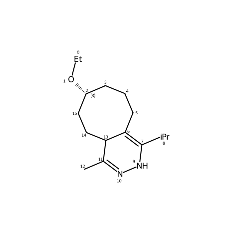 CCO[C@@H]1CCCC2=C(C(C)C)NN=C(C)C2CC1